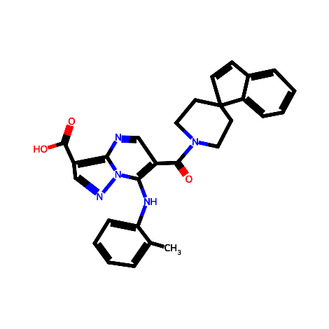 Cc1ccccc1Nc1c(C(=O)N2CCC3(C=Cc4ccccc43)CC2)cnc2c(C(=O)O)cnn12